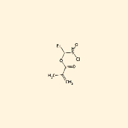 C=C(C)C(=O)OC(CC)[SiH](Cl)Cl